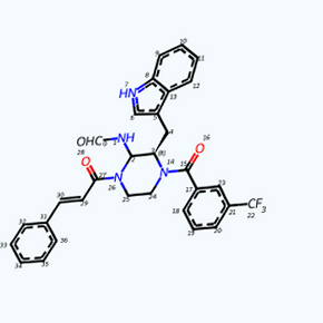 O=CNC1[C@@H](Cc2c[nH]c3ccccc23)N(C(=O)c2cccc(C(F)(F)F)c2)CCN1C(=O)C=Cc1ccccc1